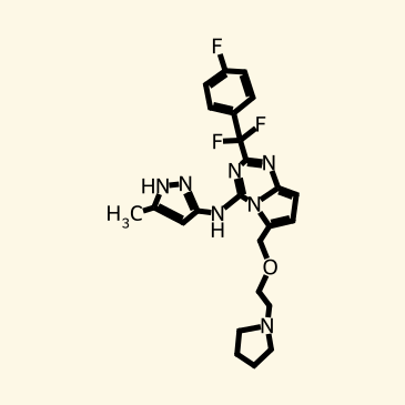 Cc1cc(Nc2nc(C(F)(F)c3ccc(F)cc3)nc3ccc(COCCN4CCCC4)n23)n[nH]1